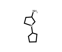 NC1CCN(C2CCCC2)C1